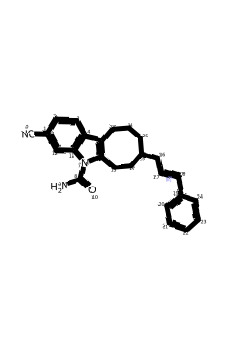 N#Cc1ccc2c3c(n(C(N)=O)c2c1)CCC(C/C=C/c1ccccc1)CCC3